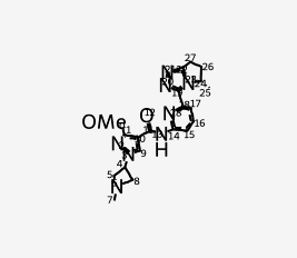 COc1nn(C2CN(C)C2)cc1C(=O)Nc1cccc(-c2nnc3n2[C@@H](C)CC3)n1